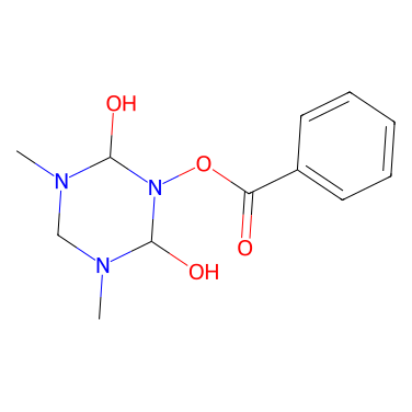 CN1CN(C)C(O)N(OC(=O)c2ccccc2)C1O